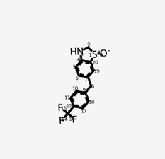 [O-][S+]1CNc2ccc(Cc3ccc(C(F)(F)F)cc3)cc21